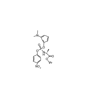 CC(C)OC(=O)[C@H](C)NP(=O)(Oc1ccc([N+](=O)[O-])cc1)Oc1cccc(N(C)C)c1